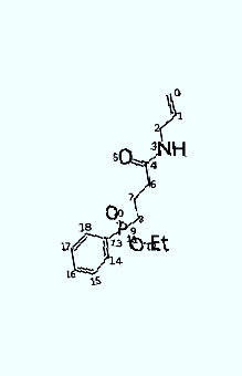 C=CCNC(=O)CCCP(=O)(OCC)c1ccccc1